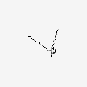 CCCCCCCCCCCC1N(CC)C=CN1CCCCCCCC